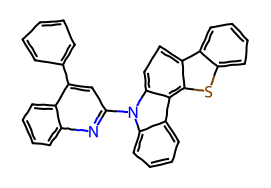 c1ccc(-c2cc(-n3c4ccccc4c4c5sc6ccccc6c5ccc43)nc3ccccc23)cc1